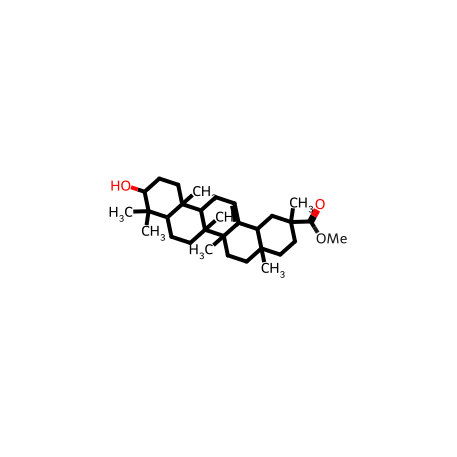 COC(=O)C1(C)CCC2(C)CCC3(C)C(=CCC4C5(C)CCC(O)C(C)(C)C5CCC43C)C2C1